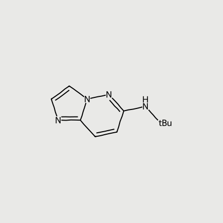 CC(C)(C)Nc1ccc2nccn2n1